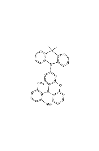 COc1cccc(OC)c1B1c2ccccc2Oc2cc(N3c4ccccc4C(C)(C)c4ccccc43)ccc21